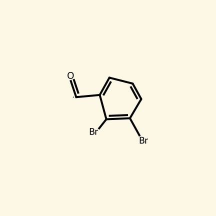 O=[C]c1cccc(Br)c1Br